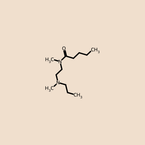 CCCCC(=O)N(C)CCN(C)CCC